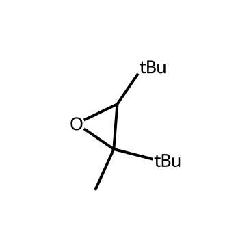 CC(C)(C)C1OC1(C)C(C)(C)C